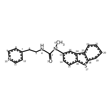 CN(C(=O)NCCc1ccncc1)c1ccc2sc3ccccc3c2c1